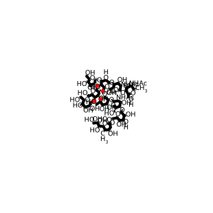 CC(=O)NC1C(O)[C@H](O[C@@H]2OC(CO[C@]3(OC=O)C[C@@H](O)[C@@H](C)C([C@H](O)[C@H](O)CO)O3)[C@H](O)[C@H](O)C2O)[C@H](CO)O[C@H]1OC1[C@@H](OCC2O[C@@H](O[C@@H]3C(CO)O[C@@H](O[C@@H]4C(CO)O[C@@H](C)C(NC(C)=O)[C@H]4O)C(NC(C)=O)[C@H]3O)C(O)[C@@H](O[C@H]3OC(CO)[C@@H](O)C(O)C3O[C@@H]3OC(CO)[C@@H](O[C@@H]4OC(CO)[C@H](O)[C@H](O)C4O)[C@H](O)C3NC(C)=O)[C@@H]2O)OC(CO)[C@@H](O)[C@@H]1O